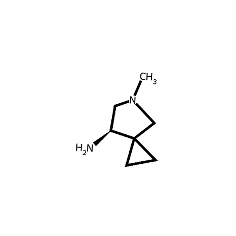 CN1C[C@H](N)C2(CC2)C1